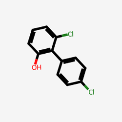 Oc1cccc(Cl)c1-c1ccc(Cl)cc1